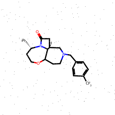 CC(C)[C@H]1CCOC2CCN(Cc3ccc(C(F)(F)F)cc3)C[C@H]3CC(=O)N1C23